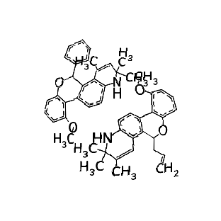 C=CCC1Oc2cccc(OC)c2-c2ccc3c(c21)C=C(C)C(C)(C)N3.COc1cccc2c1-c1ccc3c(c1C(c1ccccc1)O2)C(C)=CC(C)(C)N3